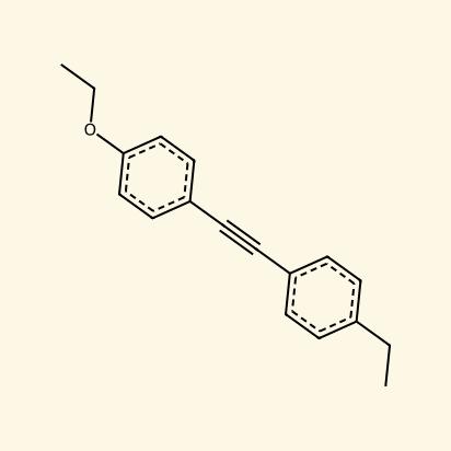 CCOc1ccc(C#Cc2ccc(CC)cc2)cc1